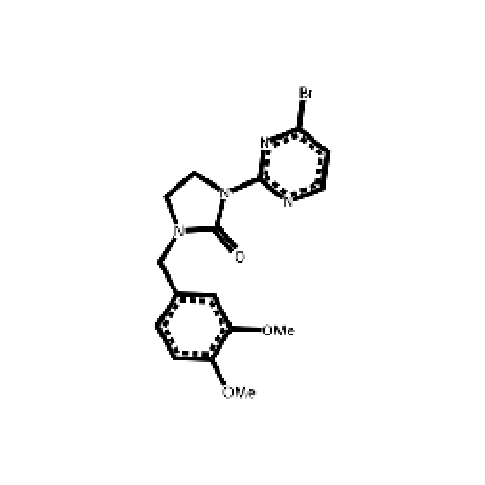 COc1ccc(CN2CCN(c3nccc(Br)n3)C2=O)cc1OC